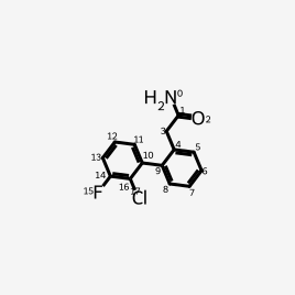 NC(=O)Cc1ccccc1-c1cccc(F)c1Cl